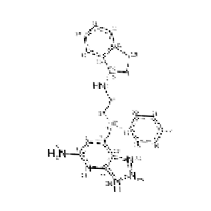 Nc1cc([C@H](CCN[C@H]2CCc3ccccc32)c2ccccc2)c2nn[nH]c2n1